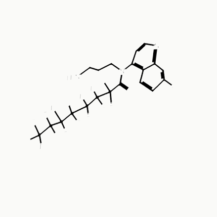 NCCCN(C(=O)C(F)(F)C(F)(F)C(F)(F)C(F)(F)C(F)(F)C(F)(F)C(F)(F)F)c1ccnc2cc(Cl)ccc12